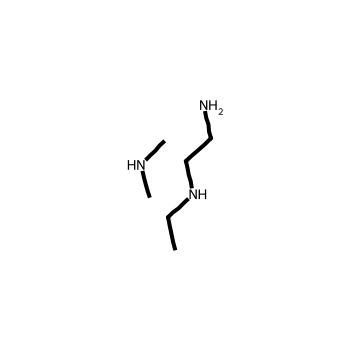 CCNCCN.CNC